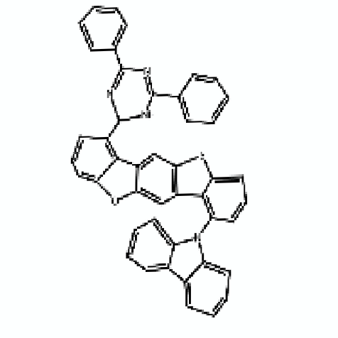 c1ccc(C2=NC(c3cccc4oc5cc6c(cc5c34)sc3cccc(-n4c5ccccc5c5ccccc54)c36)NC(c3ccccc3)=N2)cc1